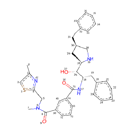 Cc1csc(CN(C)C(=O)c2cccc(C(=O)N[C@@H](Cc3ccccc3)[C@H](O)[C@H]3C[C@@H](Cc4ccccc4)CN3)c2)n1